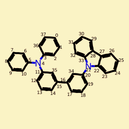 c1ccc(N(c2ccccc2)c2cccc(-c3cccc(-n4c5ccccc5c5ccccc54)c3)c2)cc1